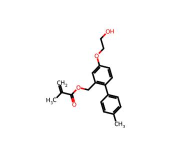 C=C(C)C(=O)OCc1cc(OCCO)ccc1-c1ccc(C)cc1